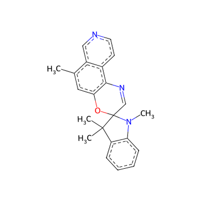 Cc1cc2c(c3ccncc13)N=CC1(O2)N(C)c2ccccc2C1(C)C